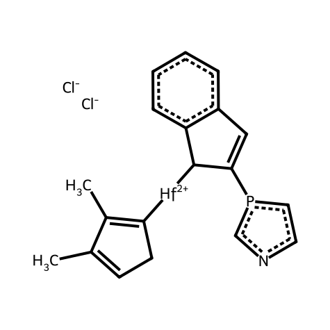 CC1=CC[C]([Hf+2][CH]2C(p3ccnc3)=Cc3ccccc32)=C1C.[Cl-].[Cl-]